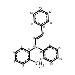 Cc1ccccc1N(C=Cc1ccccc1)c1ccccc1